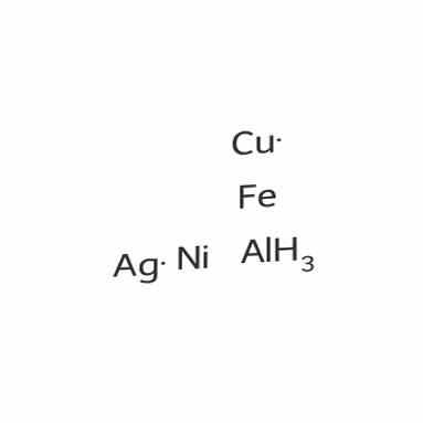 [Ag].[AlH3].[Cu].[Fe].[Ni]